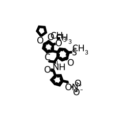 COc1c(OC2CCCC2)cc2c(c1OC)-c1ccc(SC)c(=O)cc1[C@@H](NC(=O)c1cccc(CO[N+](=O)[O-])c1)CC2